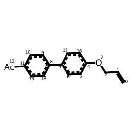 C=CCOc1ccc(-c2ccc(C(C)=O)cc2)cc1